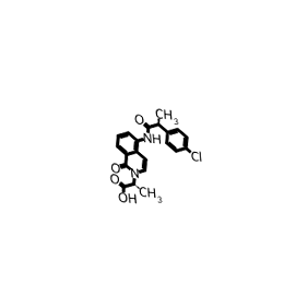 C[C@H](C(=O)Nc1cccc2c(=O)n([C@H](C)C(=O)O)ccc12)c1ccc(Cl)cc1